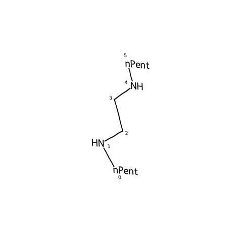 CCCCCNCCNCCCCC